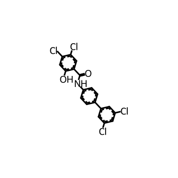 O=C(Nc1ccc(-c2cc(Cl)cc(Cl)c2)cc1)c1cc(Cl)c(Cl)cc1O